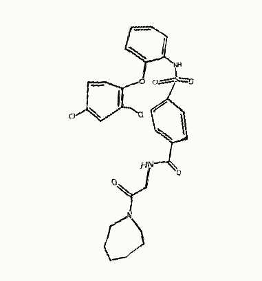 O=C(NCC(=O)N1CCCCCC1)c1ccc(S(=O)(=O)Nc2ccccc2Oc2ccc(Cl)cc2Cl)cc1